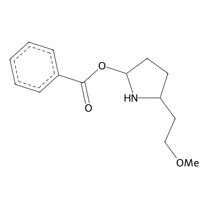 COCCC1CCC(OC(=O)c2ccccc2)N1